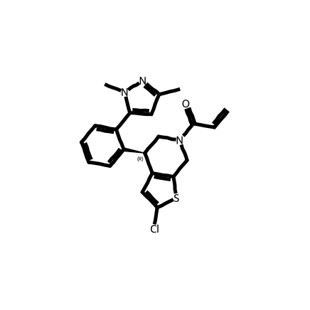 C=CC(=O)N1Cc2sc(Cl)cc2[C@@H](c2ccccc2-c2cc(C)nn2C)C1